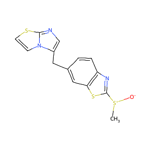 C[S+]([O-])c1nc2ccc(Cc3cnc4sccn34)cc2s1